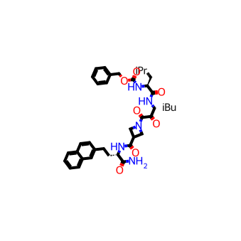 CC[C@H](C)C(NC(=O)[C@H](CC(C)C)NC(=O)OCc1ccccc1)C(=O)C(=O)N1CC(C(=O)N[C@@H](CCc2ccc3ccccc3c2)C(N)=O)C1